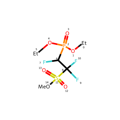 CCOP(=O)(OCC)C(F)C(F)(F)S(=O)(=O)OC